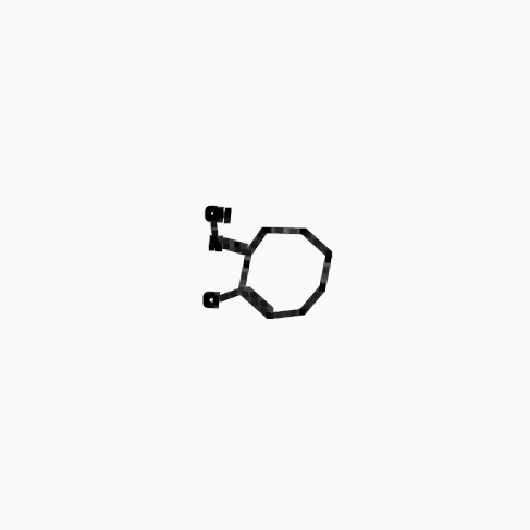 ON=C1CCCCCC=C1Cl